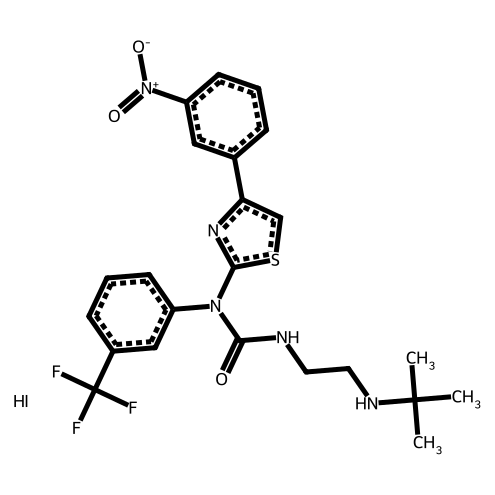 CC(C)(C)NCCNC(=O)N(c1cccc(C(F)(F)F)c1)c1nc(-c2cccc([N+](=O)[O-])c2)cs1.I